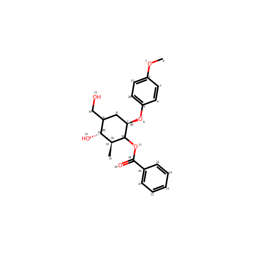 COc1ccc(O[C@@H]2CC(CO)[C@@H](O)[C@H](C)C2OC(=O)c2ccccc2)cc1